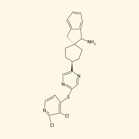 NC1c2ccccc2C[C@]12CC[C@H](c1cnc(Sc3ccnc(Cl)c3Cl)cn1)CC2